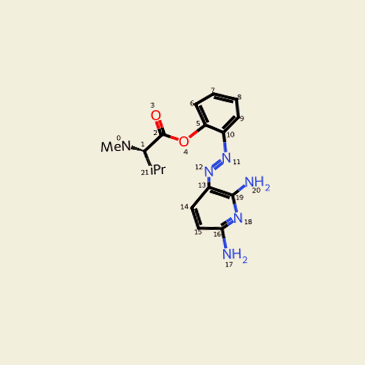 CN[C@@H](C(=O)Oc1ccccc1/N=N/c1ccc(N)nc1N)C(C)C